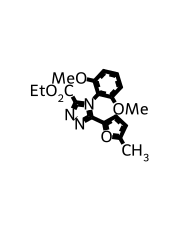 CCOC(=O)c1nnc(-c2ccc(C)o2)n1-c1c(OC)cccc1OC